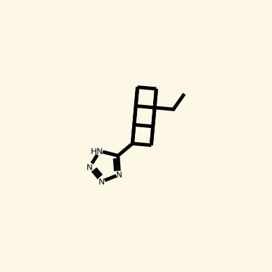 CCC12C3C4C1C1C2C3C41c1nnn[nH]1